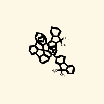 CC1(C)c2ccccc2-c2ccc(N(c3ccc4c(c3)C(C)(C)c3ccccc3-4)c3cccc4c3C3(c5ccccc5-c5ccccc53)c3c(-c5ccccc5)cccc3-4)cc21